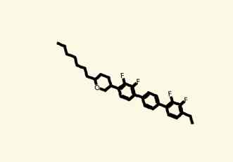 CCCCCCCC1CCC(c2ccc(-c3ccc(-c4ccc(CC)c(F)c4F)cc3)c(F)c2F)CO1